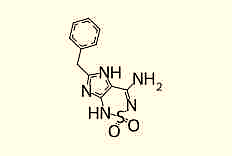 NC1=NS(=O)(=O)Nc2nc(Cc3ccccc3)[nH]c21